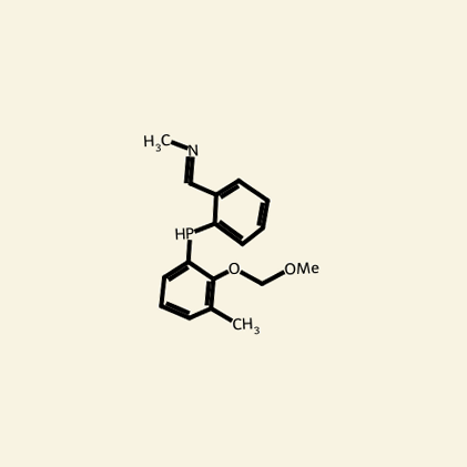 C/N=C/c1ccccc1Pc1cccc(C)c1OCOC